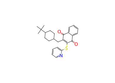 CC(C)(C)C1CCC(CC2=C(Sc3ccccn3)C(=O)c3ccccc3C2=O)CC1